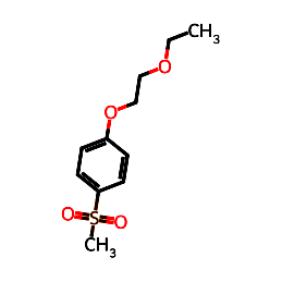 CCOCCOc1ccc(S(C)(=O)=O)cc1